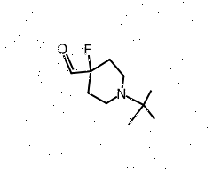 CC(C)(C)N1CCC(F)(C=O)CC1